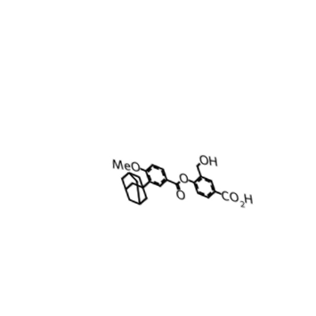 COc1ccc(C(=O)Oc2ccc(C(=O)O)cc2CO)cc1C12CC3CC(CC(C3)C1)C2